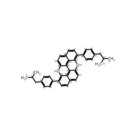 CC(C)Cc1ccc(-c2ccc3ccc4oc5c(-c6ccc(CC(C)C)cc6)ccc6ccc7oc2c3c4-c7c65)cc1